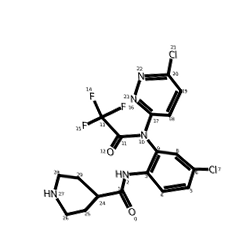 O=C(Nc1ccc(Cl)cc1N(C(=O)C(F)(F)F)c1ccc(Cl)nn1)C1CCNCC1